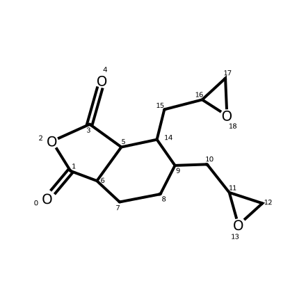 O=C1OC(=O)C2C1CCC(CC1CO1)C2CC1CO1